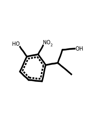 C[C](CO)c1cccc(O)c1[N+](=O)[O-]